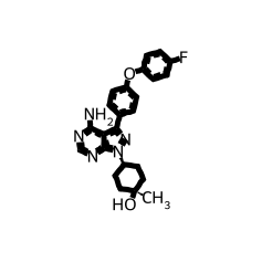 C[C@]1(O)CC[C@@H](n2nc(-c3ccc(Oc4ccc(F)cc4)cc3)c3c(N)ncnc32)CC1